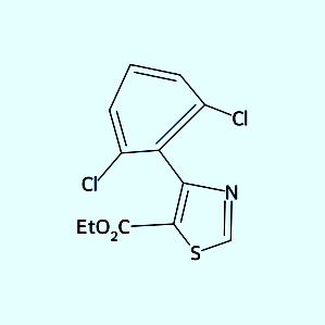 CCOC(=O)c1scnc1-c1c(Cl)cccc1Cl